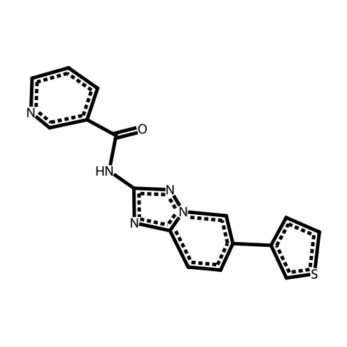 O=C(Nc1nc2ccc(-c3ccsc3)cn2n1)c1cccnc1